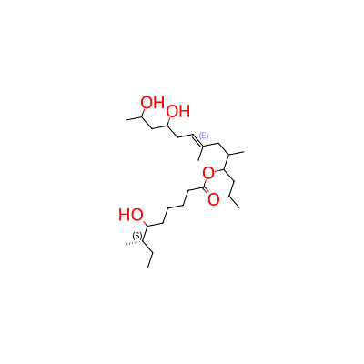 CCCC(OC(=O)CCCCC(O)[C@@H](C)CC)C(C)C/C(C)=C/CC(O)CC(C)O